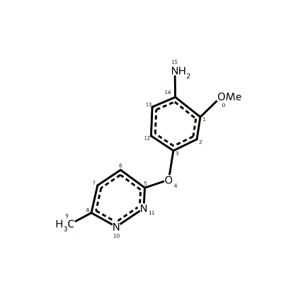 COc1cc(Oc2ccc(C)nn2)ccc1N